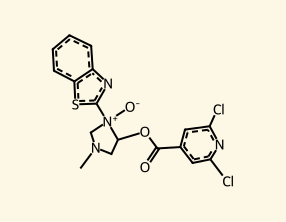 CN1CC(OC(=O)c2cc(Cl)nc(Cl)c2)[N+]([O-])(c2nc3ccccc3s2)C1